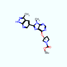 Cc1n[nH]c2ncc(-c3nc4c(O[C@H]5CCN(C(=O)OC(C)(C)C)C5)ncnc4n3C)cc12